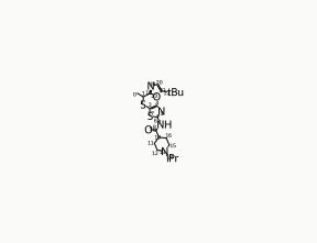 CC(Sc1cnc(NC(=O)C2CCN(C(C)C)CC2)s1)c1ncc(C(C)(C)C)o1